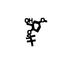 COc1ccc(O[Si](C)(C)C(C)(C)C)c(CO)c1